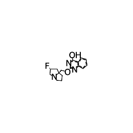 Oc1nc(OC[C@@]23CCCN2C[C@H](F)C3)nc2ccccc12